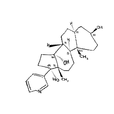 C[C@]12CC[C@H](O)C[C@@H]1CC[C@@H]1[C@@H]2CC[C@@]2(C)[C@@]1(O)CC[C@]2(O)c1cccnc1